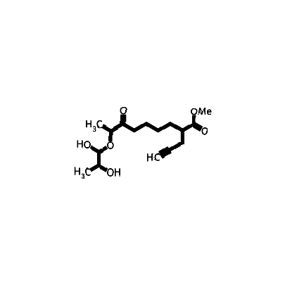 C#CCC(CCCCC(=O)C(C)OC(O)C(C)O)C(=O)OC